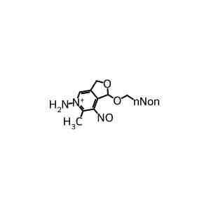 CCCCCCCCCCOC1OCc2c[n+](N)c(C)c(N=O)c21